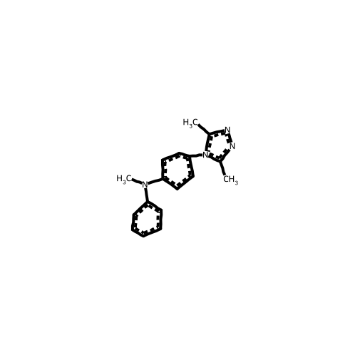 Cc1nnc(C)n1-c1ccc(N(C)c2ccccc2)cc1